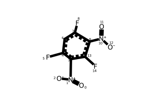 O=[N+]([O-])c1c(F)cc(F)c([N+](=O)[O-])c1F